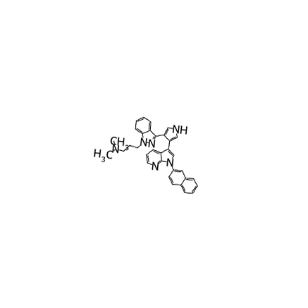 CN(C)CCCn1nc(-c2c[nH]cc2-c2cn(-c3ccc4ccccc4c3)c3ncccc23)c2ccccc21